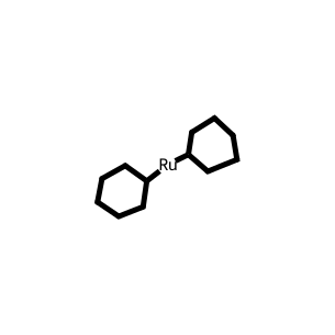 C1CC[CH]([Ru][CH]2CCCCC2)CC1